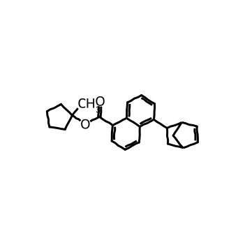 CC1(OC(=O)c2cccc3c(C4CC5C=CC4C5)cccc23)CCCC1